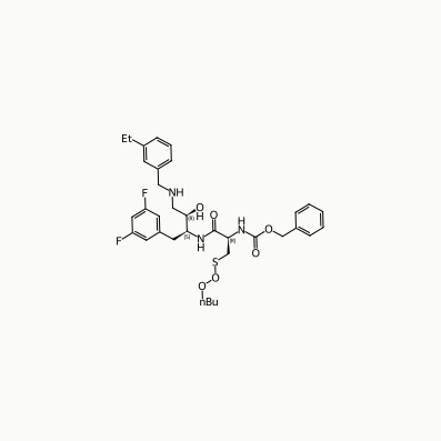 CCCCOOSC[C@H](NC(=O)OCc1ccccc1)C(=O)N[C@@H](Cc1cc(F)cc(F)c1)[C@H](O)CNCc1cccc(CC)c1